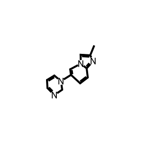 Cc1cn2cc(N3C=CC=NC3)ccc2n1